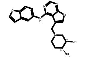 N[C@@H]1CCN(Cc2c[nH]c3ncnc(Nc4ccc5occc5c4)c23)C[C@H]1O